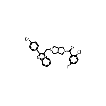 O=C(c1cc(F)ccc1Cl)N1CC2CN(Cc3c(-c4ccc(Br)cc4)nc4ccccn34)CC2C1